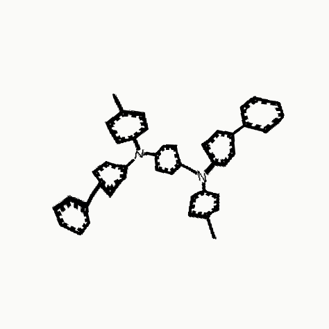 Cc1ccc(N(c2ccc(-c3ccccc3)cc2)c2ccc(N(c3ccc(C)cc3)c3ccc(-c4ccccc4)cc3)cc2)cc1